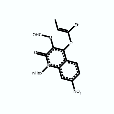 CC=C(CC)Oc1c(OC=O)c(=O)n(CCCCCC)c2cc([N+](=O)[O-])ccc12